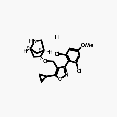 COc1cc(Cl)c(-c2noc(C3CC3)c2CO[C@@H]2C[C@@H]3C[C@H]2CN3)c(Cl)c1.I